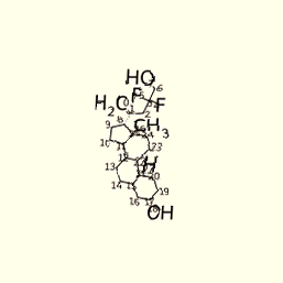 C=C(CC(F)(F)CO)[C@H]1CCC2C3CCC4C[C@@H](O)CC[C@@H]4C3CC[C@@]21C